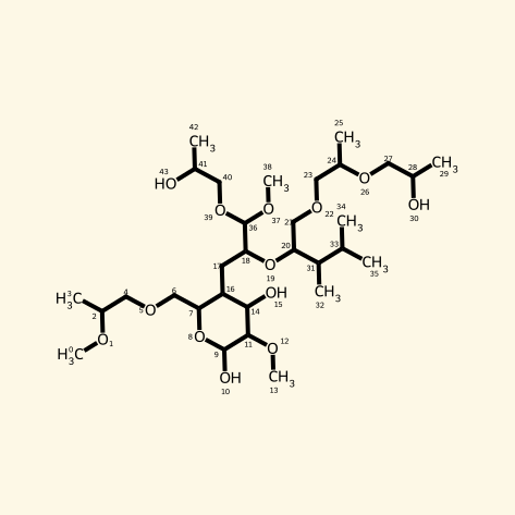 COC(C)COCC1OC(O)C(OC)C(O)C1CC(OC(COCC(C)OCC(C)O)C(C)C(C)C)C(OC)OCC(C)O